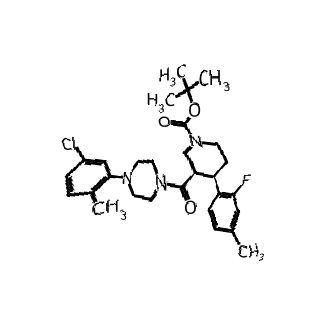 Cc1ccc([C@@H]2CCN(C(=O)OC(C)(C)C)C[C@@H]2C(=O)N2CCN(c3cc(Cl)ccc3C)CC2)c(F)c1